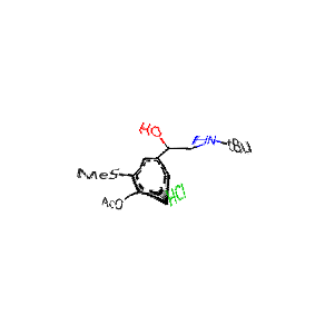 CSc1cc(C(O)CNC(C)(C)C)ccc1OC(C)=O.Cl